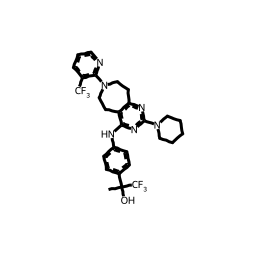 CC(O)(c1ccc(Nc2nc(N3CCCCC3)nc3c2CCN(c2ncccc2C(F)(F)F)CC3)cc1)C(F)(F)F